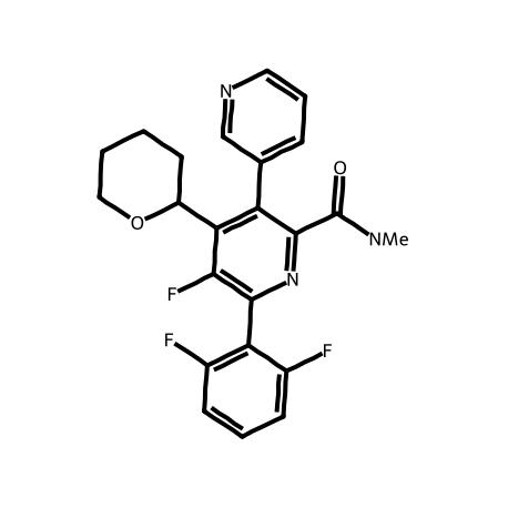 CNC(=O)c1nc(-c2c(F)cccc2F)c(F)c(C2CCCCO2)c1-c1cccnc1